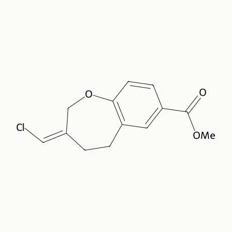 COC(=O)c1ccc2c(c1)CC/C(=C/Cl)CO2